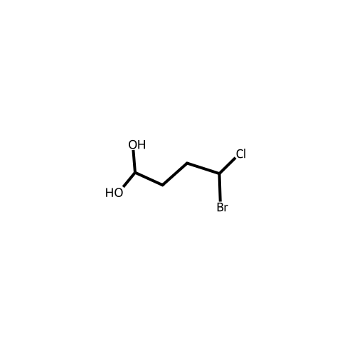 OC(O)CCC(Cl)Br